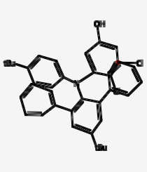 CC(C)(C)c1ccc(N(c2cc(O)cc(Cl)c2Cl)c2c(-c3ccccc3)cc(C(C)(C)C)cc2-c2ccccc2)cc1